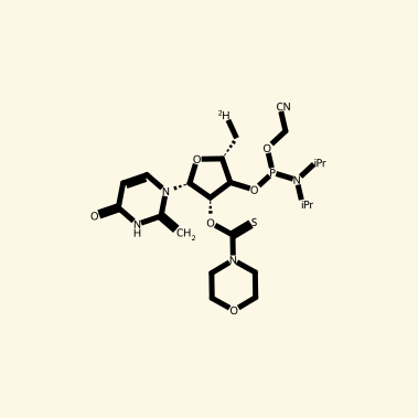 [2H]C[C@H]1O[C@@H](N2C=CC(=O)NC2=C)[C@@H](OC(=S)N2CCOCC2)C1OP(OCC#N)N(C(C)C)C(C)C